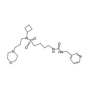 O=C(NCCCCS(=O)(=O)N(CCCN1CCOCC1)C1CCC1)NCc1cccnc1